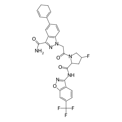 NC(=O)c1nn(CC(=O)N2CC(F)CC2C(=O)Nc2noc3cc(C(F)(F)F)ccc23)c2ccc(C3=CCCC=C3)cc12